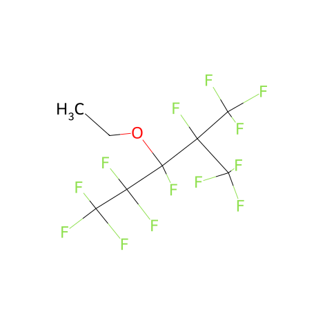 CCOC(F)(C(F)(F)C(F)(F)F)C(F)(C(F)(F)F)C(F)(F)F